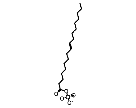 CCCCCCCCC=CCCCCCCCC(=O)O[Cl+3]([O-])([O-])[O-]